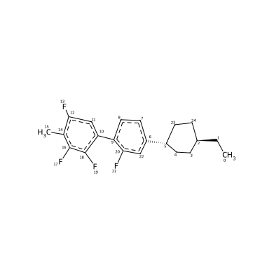 CC[C@H]1CC[C@H](c2ccc(-c3cc(F)c(C)c(F)c3F)c(F)c2)CC1